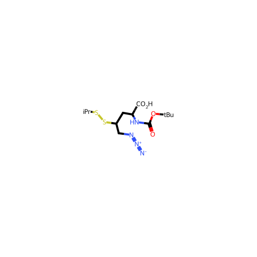 CC(C)SSC(CN=[N+]=[N-])CC(NC(=O)OC(C)(C)C)C(=O)O